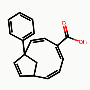 O=C(O)C1=CC=CC2C=CC(c3ccccc3)(C=C1)C2